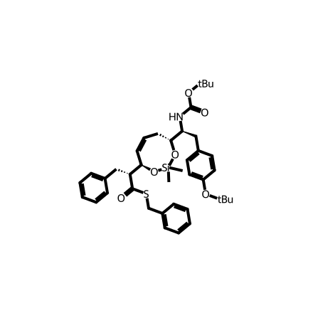 CC(C)(C)OC(=O)N[C@@H](Cc1ccc(OC(C)(C)C)cc1)[C@H]1C/C=C\[C@H]([C@@H](Cc2ccccc2)C(=O)SCc2ccccc2)O[Si](C)(C)O1